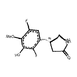 COc1c(F)cc([C@@H]2CNC(=O)C2)c(F)c1O